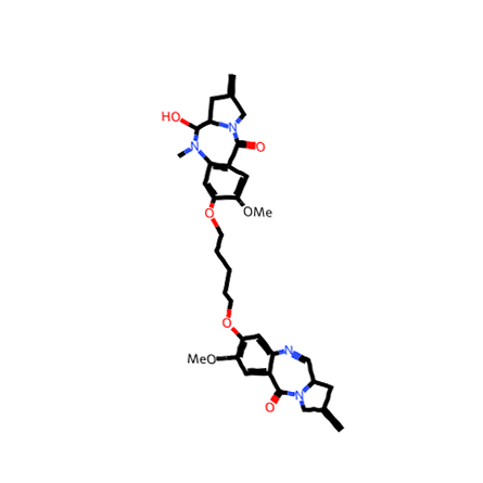 C=C1CC2C=Nc3cc(OCCCCCOc4cc5c(cc4OC)C(=O)N4CC(=C)CC4C(O)N5C)c(OC)cc3C(=O)N2C1